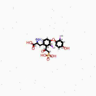 NC(Cc1ccc(Oc2ccc(O)cc2I)c(I)c1C(=O)CP(=O)(O)O)C(=O)O